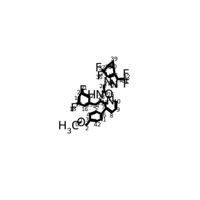 COCc1ccc(-c2cccnc2C(Cc2cc(F)cc(F)c2)NC(=O)Cn2nc(C(F)F)c3c2C(F)(F)C2CC32)cc1